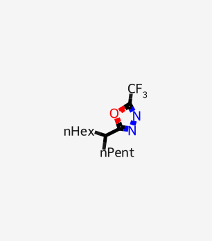 CCCCCCC(CCCCC)c1nnc(C(F)(F)F)o1